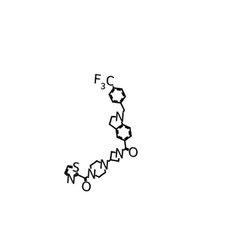 O=C(c1ccc2c(c1)CCN2Cc1ccc(C(F)(F)F)cc1)N1CC(N2CCN(C(=O)c3nccs3)CC2)C1